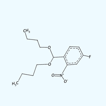 CCCCOC(OCCCC)c1ccc(F)cc1[N+](=O)[O-]